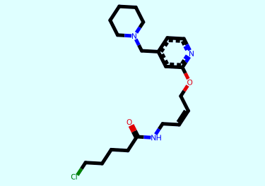 O=C(CCCCCl)NC/C=C\COc1cc(CN2CCCCC2)ccn1